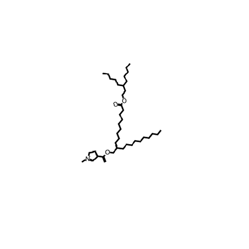 C=C(OCC(CCCCCCCCCC)CCCCCCCCC(=O)OCCC(CCCCC)CCCCC)C1CCN(C)C1